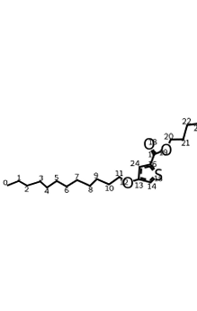 CCCCCCCCCCCCOc1csc(C(=O)OCCCC)c1